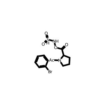 Brc1ccccc1.CC(=O)N1CCCC1C(=O)ON[SH](=O)=O